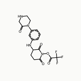 O=C1CCC(Nc2cccc(N3CCNCC3=O)c2)C(=O)N1OC(=O)C(F)(F)F